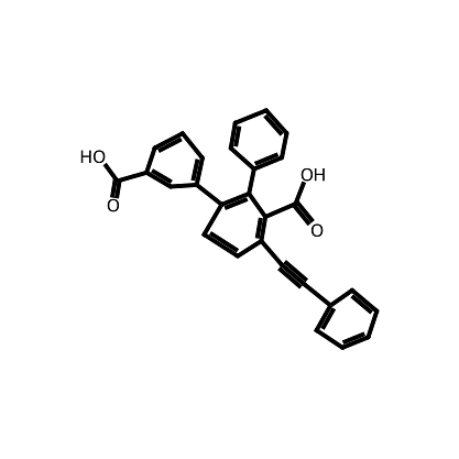 O=C(O)c1cccc(-c2ccc(C#Cc3ccccc3)c(C(=O)O)c2-c2ccccc2)c1